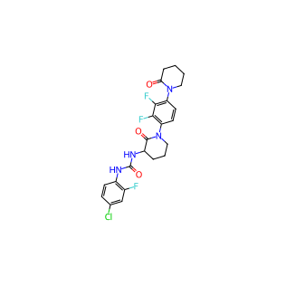 O=C(Nc1ccc(Cl)cc1F)NC1CCCN(c2ccc(N3CCCCC3=O)c(F)c2F)C1=O